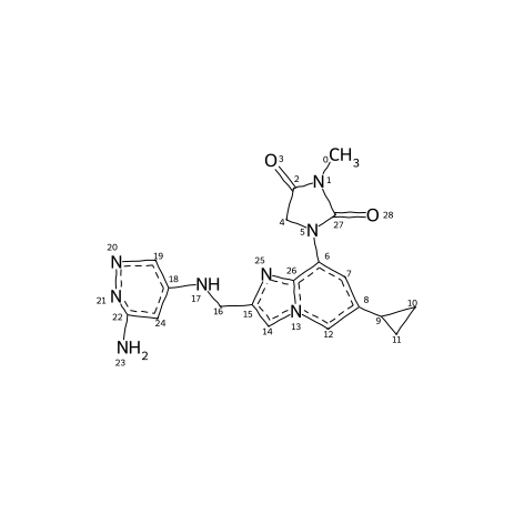 CN1C(=O)CN(c2cc(C3CC3)cn3cc(CNc4cnnc(N)c4)nc23)C1=O